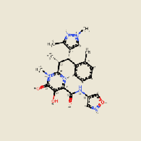 Cc1nn(C)cc1[C@H](c1ccccc1C#N)[C@H](c1nc(C(=O)Nc2cnoc2)c(O)c(=O)n1C)C(F)(F)F